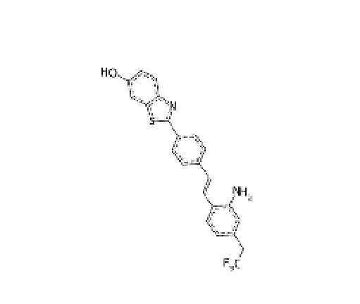 Nc1cc(CC(F)(F)F)ccc1C=Cc1ccc(-c2nc3ccc(O)cc3s2)cc1